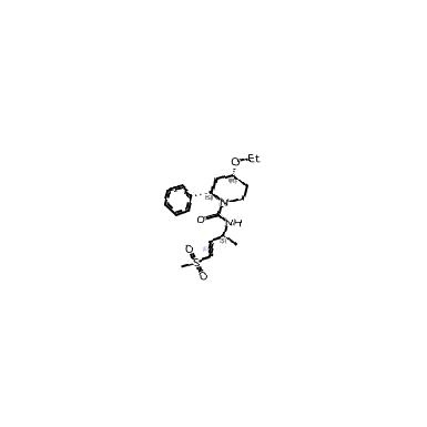 CCO[C@@H]1CCN(C(=O)N[C@@H](C)/C=C/S(C)(=O)=O)[C@H](c2ccccc2)C1